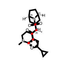 C[C@H](C1CCN(C)CC1)S(=O)(=O)N1[C@@H]2CC[C@H]1C[C@@H](NC(=O)c1cc(C3CC3)on1)C2